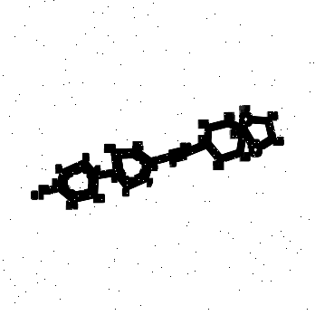 Fc1ccc(-c2ccc(C#CC3CCC4(CC3)OCCO4)cc2)cc1